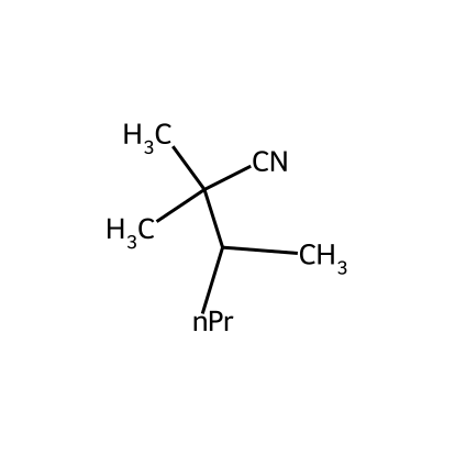 CCCC(C)C(C)(C)C#N